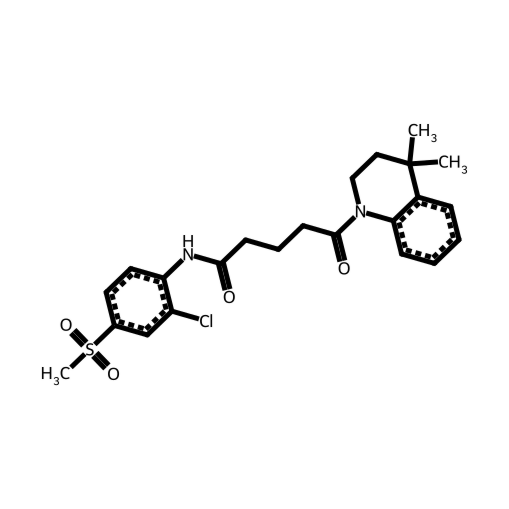 CC1(C)CCN(C(=O)CCCC(=O)Nc2ccc(S(C)(=O)=O)cc2Cl)c2ccccc21